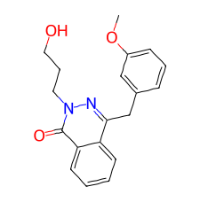 COc1cccc(Cc2nn(CCCO)c(=O)c3ccccc23)c1